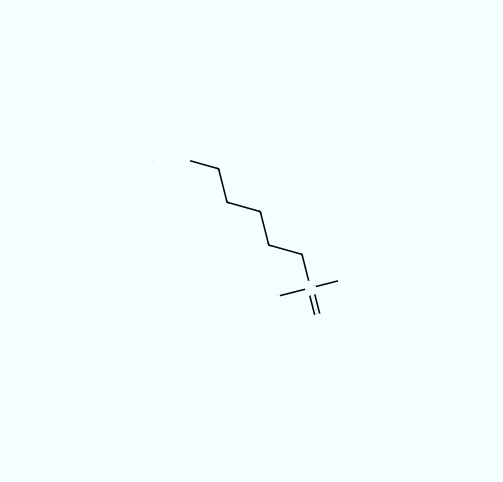 CCCCCCCCCCP(=S)(Cl)Cl